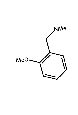 CNCc1[c]cccc1OC